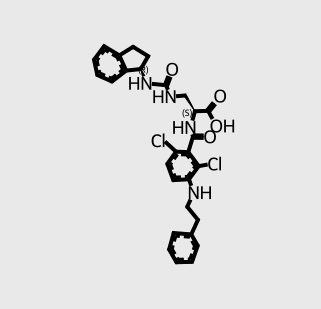 O=C(NC[C@H](NC(=O)c1c(Cl)ccc(NCCc2ccccc2)c1Cl)C(=O)O)N[C@@H]1CCc2ccccc21